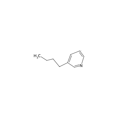 CCCCc1c[c]cnc1